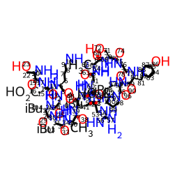 CC[C@H](C)[C@H](NC(=O)[C@H](CCCCN)NC(=O)[C@H](CC(=O)O)NC(=O)[C@@H](N)CO)C(=O)N[C@H](C(=O)N[C@H](C(=O)N[C@@H](C)C(=O)N[C@@H](Cc1c[nH]cn1)C(=O)N[C@@H](CCCNC(=N)N)C(=O)NCC(=O)N[C@@H](C)C(=O)N[C@@H](CO)C(=O)NCC(=O)N[C@@H](Cc1ccc(O)cc1)C(=O)N[C@@H](CC(C)C)C(=O)N1CCC[C@H]1C(=O)O)[C@@H](C)CC)[C@@H](C)CC